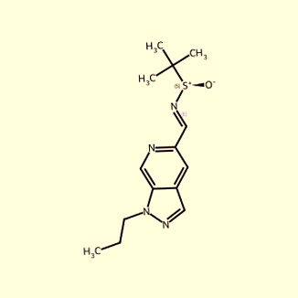 CCCn1ncc2cc(/C=N/[S@+]([O-])C(C)(C)C)ncc21